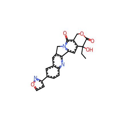 CCC1(O)C(=O)OCc2c1cc1n(c2=O)Cc2cc3cc(-c4ccon4)ccc3nc2-1